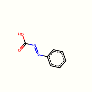 O=C(O)N=Nc1cc[c]cc1